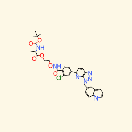 CC(NC(=O)OC(C)(C)C)C(=O)OCCONC(=O)c1ccc(-c2ccc3nnn(Cc4ccc5ncccc5c4)c3n2)cc1Cl